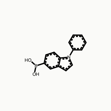 OB(O)c1ccc2c(ccn2-c2ccccc2)c1